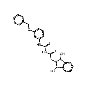 O=C(CN1C(O)c2ccccc2C1O)NC(=S)Nc1cccc(OCc2ccccc2)c1